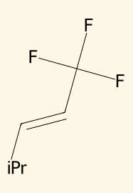 CC(C)C=CC(F)(F)F